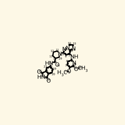 COc1ccc(Nc2cc(N3CCCC(C(=O)Nc4ccc5c(c4)C(=O)NC5=O)C3)nn3ccnc23)nc1OC